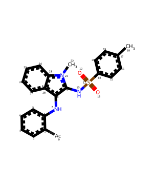 CC(=O)c1ccccc1Nc1c(NS(=O)(=O)c2ccc(C)cc2)n(C)c2ccccc12